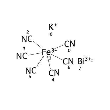 N#[C][Fe-3]([C]#N)([C]#N)([C]#N)([C]#N)[C]#N.[Bi+3].[K+]